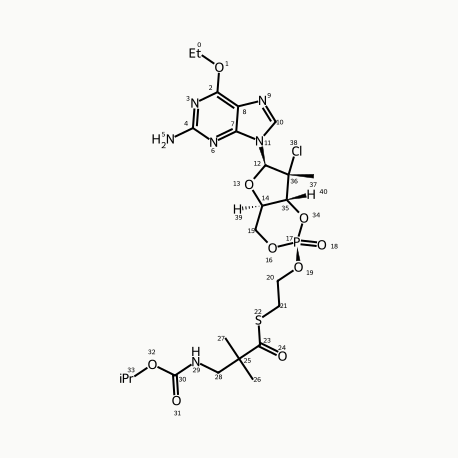 CCOc1nc(N)nc2c1ncn2[C@@H]1O[C@@H]2CO[P@](=O)(OCCSC(=O)C(C)(C)CNC(=O)OC(C)C)O[C@H]2[C@@]1(C)Cl